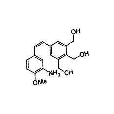 COc1ccc(/C=C\c2cc(CO)c(CO)c(CO)c2)cc1N